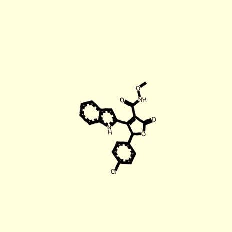 CONC(=O)C1=C(c2cc3ccccc3[nH]2)C(c2ccc(Cl)cc2)OC1=O